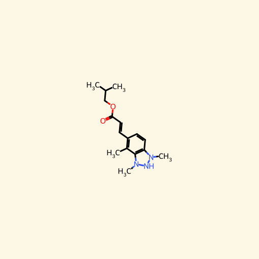 Cc1c(/C=C/C(=O)OCC(C)C)ccc2c1N(C)NN2C